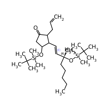 C=CCC1C(=O)CC(O[Si](C)(C)C(C)(C)C)C1/C=C/[C@@](C)(CCCCC)O[Si](C)(C)C(C)(C)C